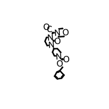 O=C=C(N1CCOCC1)N1CCCN(C2CCN(C(=O)OCc3ccccc3)CC2)C1=O